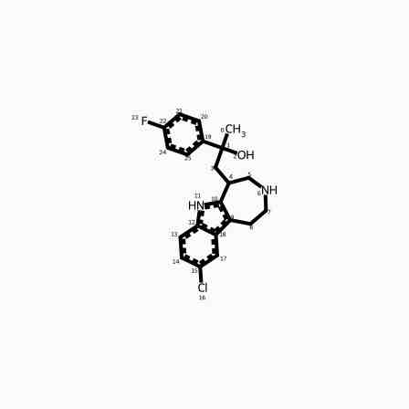 CC(O)(CC1CNCCc2c1[nH]c1ccc(Cl)cc21)c1ccc(F)cc1